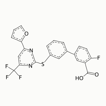 O=C(O)c1cc(-c2cccc(Sc3nc(-c4ccco4)cc(C(F)(F)F)n3)c2)ccc1F